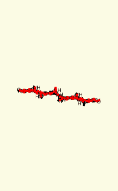 CCNC(=O)OC(CNCCNCC(COC1CCC(C(C)(C)C2CCC(OCC(CN3CCN(CC(COC4CCC(C(C)(C)C5CCC(OCC6CO6)CC5)CC4)OC(=O)NCC)CC3)OC(=O)NCC)CC2)CC1)OC(=O)NCC)COC1CCC(C(C)(C)C2CCC(OCC(CN3CCN(CC(COC4CCC(C(C)(C)C5CCC(OCC6CO6)CC5)CC4)OC(=O)NCC)CC3)OC(=O)NCC)CC2)CC1